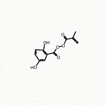 C=C(C)C(=O)OOC(=O)c1cc(O)ccc1O